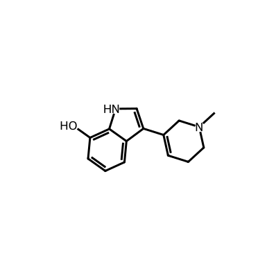 CN1CCC=C(c2c[nH]c3c(O)cccc23)C1